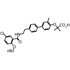 CCCCOc1ccc(Cl)cc1C(=O)NCCc1ccc(-c2ccc(OC(C)(C)C(=O)O)c(C)c2)cc1